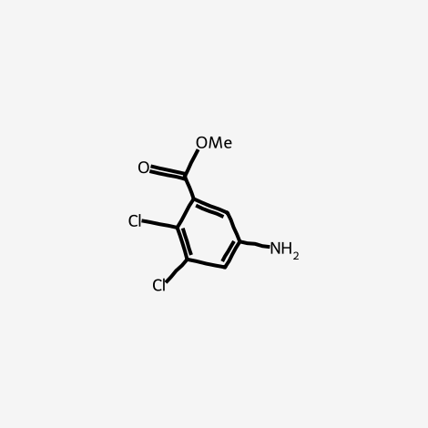 COC(=O)c1cc(N)cc(Cl)c1Cl